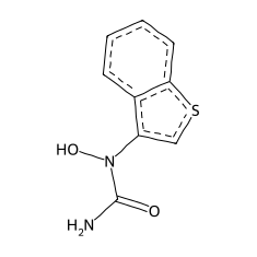 NC(=O)N(O)c1csc2ccccc12